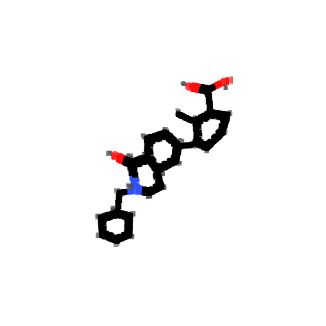 Cc1c(C(=O)O)cccc1-c1ccc2c(=O)n(Cc3ccccc3)ccc2c1